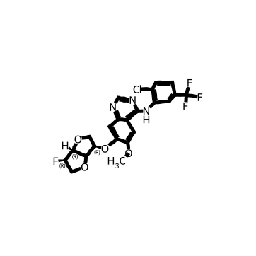 COc1cc2c(Nc3cc(C(F)(F)F)ccc3Cl)ncnc2cc1O[C@@H]1CO[C@@H]2C1OC[C@H]2F